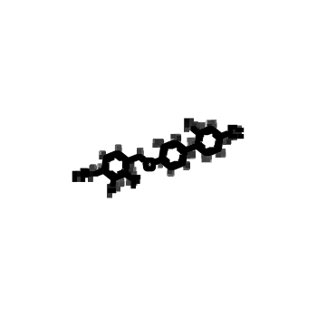 CCCc1ccc(COc2ccc(-c3ccc(CC)cc3F)cc2)c(F)c1F